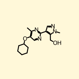 Cc1nc(-c2cnn(C)c2CO)ncc1OC1CCCCC1